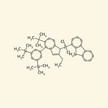 CCC1=Cc2c(ccc(C(C)(C)C)c2-c2cc([Si](C)(C)C)cc([Si](C)(C)C)c2)[CH]1[Zr]([Cl])([Cl])[c]1cccc2c1[SiH2]c1ccccc1-2